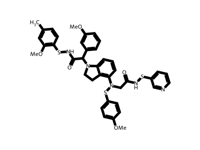 COc1ccc(SN(CC(=O)NSc2cccnc2)c2cccc3c2CCN3C(C(=O)NSc2ccc(C)cc2OC)c2cccc(OC)c2)cc1